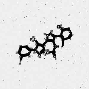 O=C(Nc1c(-c2c(F)cccc2Cl)noc1-c1cnn(-c2cccc(F)c2)c1C(F)(F)F)C(F)(F)F